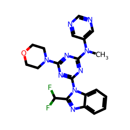 CN(c1cncnc1)c1nc(N2CCOCC2)nc(-n2c(C(F)F)nc3ccccc32)n1